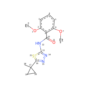 CCOc1cccc(OCC)c1C(=O)Nc1nnc(C2(C)CC2)s1